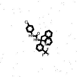 O=C(Nc1ccc(Cl)cc1)NC(Cc1ccccc1)(c1cccc(C(F)(F)F)c1)c1ccccn1